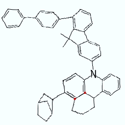 CC1(C)c2cc(N(c3ccc(C4CC5CCC4C5)cc3)c3ccccc3C3CCCCC3)ccc2-c2cccc(-c3ccc(-c4ccccc4)cc3)c21